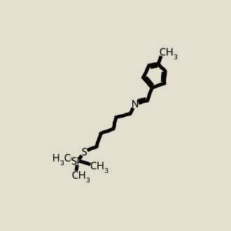 Cc1ccc(/C=N/CCCCCS[Si](C)(C)C)cc1